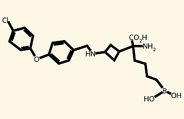 NC(CCCCB(O)O)(C(=O)O)C1CC(NCc2ccc(Oc3ccc(Cl)cc3)cc2)C1